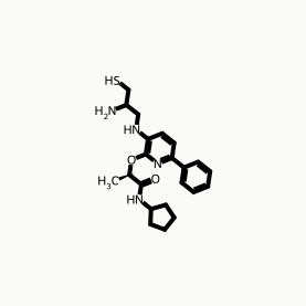 C[C@@H](Oc1nc(-c2ccccc2)ccc1NCC(N)CS)C(=O)NC1CCCC1